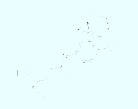 CC1CCC2C(C)(C)C2(Oc2cc(NC(=O)CC[C@H](N)C(=O)O)ccc2[N+](=O)[O-])C1